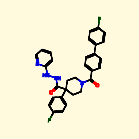 O=C(c1ccc(-c2ccc(F)cc2)cc1)N1CCC(C(=O)NNc2ccccn2)(c2ccc(F)cc2)CC1